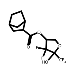 O=C(OC1COC(O)(C(F)(F)F)C1(F)F)C1CC2CCC1C2